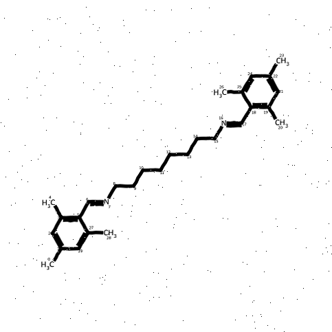 Cc1cc(C)c(C=NCCCCCCCCN=Cc2c(C)cc(C)cc2C)c(C)c1